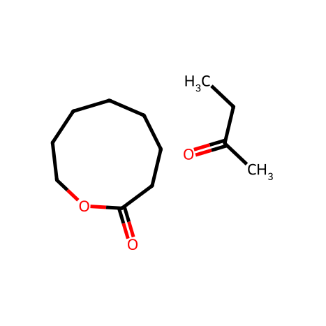 CCC(C)=O.O=C1CCCCCCCO1